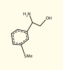 CSc1cccc(C(N)CO)c1